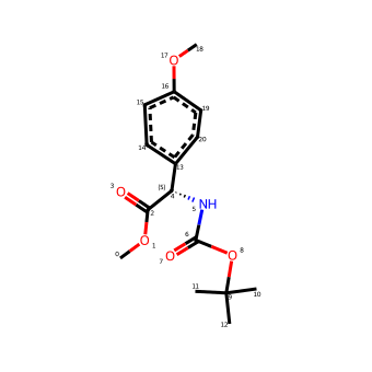 COC(=O)[C@@H](NC(=O)OC(C)(C)C)c1ccc(OC)cc1